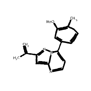 C=C(C)c1cc2nccc(-c3ccc(C)c(OC)c3)n2n1